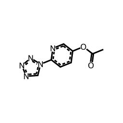 CC(=O)Oc1ccc(-n2cnnn2)nc1